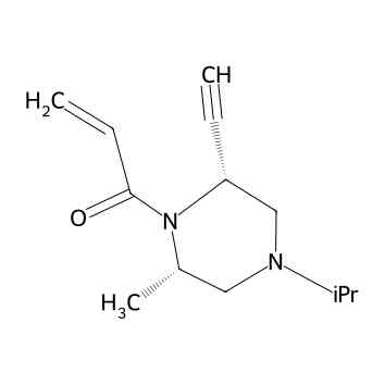 C#C[C@@H]1CN(C(C)C)C[C@H](C)N1C(=O)C=C